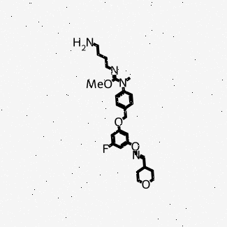 CO/C(=N\CCCCN)N(C)c1ccc(COc2cc(F)cc(ON=CC3CCOCC3)c2)cc1